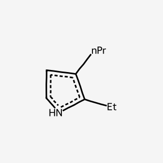 CCCc1cc[nH]c1CC